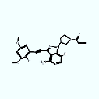 C=CC(=O)N1CCC(n2nc(C#Cc3cc(OC)cc(OC)c3F)c3c(N)ncc(Cl)c32)C1